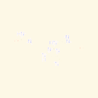 Cc1nsc2nc(Nc3cnn(C4CCOCC4)c3)nc(NC3CCC(N4CCNC(=O)C4)CC3)c12